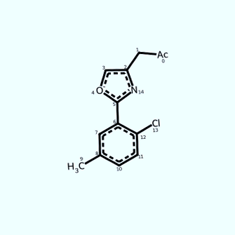 CC(=O)Cc1coc(-c2cc(C)ccc2Cl)n1